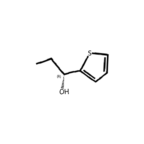 CC[C@@H](O)c1cccs1